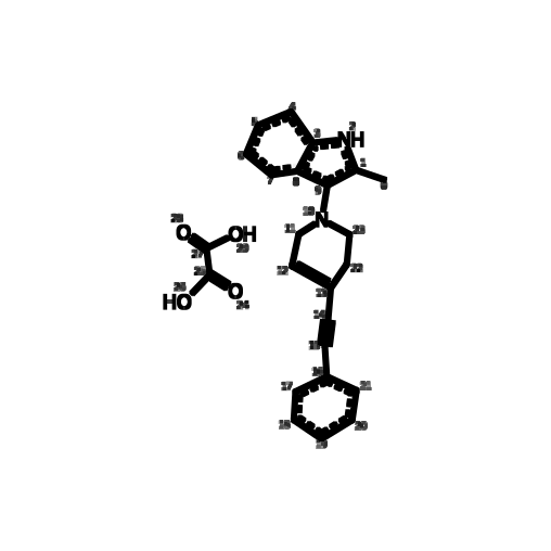 Cc1[nH]c2ccccc2c1N1CC=C(C#Cc2ccccc2)CC1.O=C(O)C(=O)O